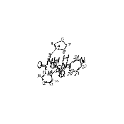 O=C(NCC1CCCC1)c1ccccc1S(=O)(=O)Nc1cccnc1